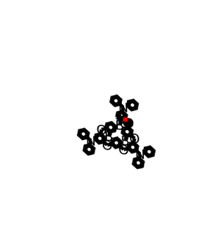 c1ccc(N(c2ccccc2)c2cc3c4c(c2)Oc2cc5c(cc2B4c2ccccc2O3)B2c3cc4c(cc3Oc3cc(N(c6ccccc6)c6ccccc6)cc(c32)O5)Oc2cc(N(c3ccccc3)c3ccccc3)cc3c2B4c2ccccc2O3)cc1